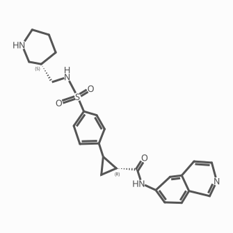 O=C(Nc1ccc2cnccc2c1)[C@@H]1CC1c1ccc(S(=O)(=O)NC[C@H]2CCCNC2)cc1